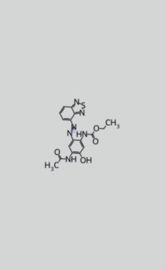 CCOC(=O)Nc1cc(O)c(NC(C)=O)cc1/N=N/c1cccc2nsnc12